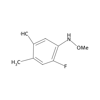 [CH]c1cc(NOC)c(F)cc1C